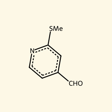 CSc1cc(C=O)ccn1